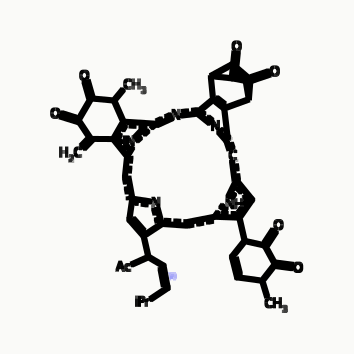 C=C1C(=O)C(=O)C(C)c2c1c1cc3nc(cc4[nH]c(cc5nc(nc2[nH]1)C1=C5C2C=CC1C(=O)C2=O)cc4C1C=CC(C)C(=O)C1=O)C(C(/C=C\C(C)C)C(C)=O)=C3